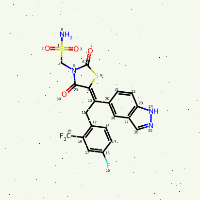 NS(=O)(=O)CN1C(=O)S/C(=C(/Cc2ccc(F)cc2C(F)(F)F)c2ccc3[nH]ncc3c2)C1=O